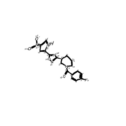 O=C(c1ccc(F)cc1)N1CCC[C@H](c2noc(-c3cc([N+](=O)[O-])c[nH]3)n2)C1